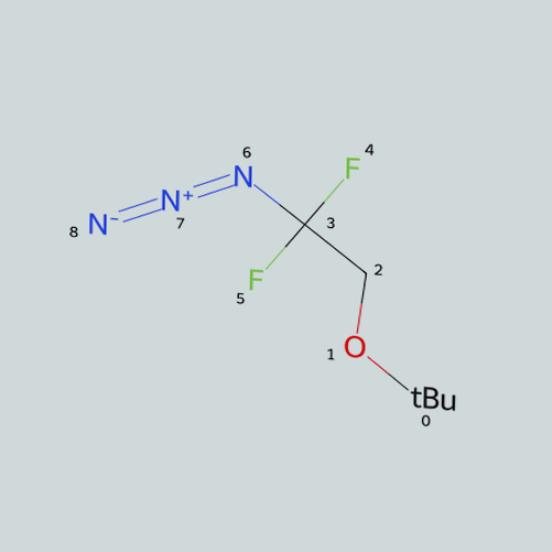 CC(C)(C)OCC(F)(F)N=[N+]=[N-]